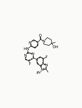 Cc1nc2c(F)cc(-c3nc(Nc4ccc(C(=O)N5CCC(C)(O)CC5)cn4)ncc3F)cc2n1C(C)C